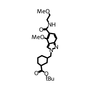 COCCNC(=O)c1ccc2nn(CC3CCCC(C(=O)OC(C)(C)C)C3)cc2c1OC